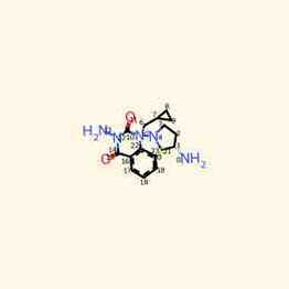 N[C@H]1CCN([N+]2(CC3CC3)C(=O)N(N)C(=O)c3cccc(F)c32)C1